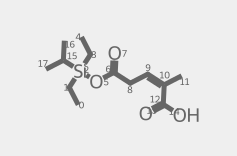 CC[Si](CC)(OC(=O)CC=C(C)C(=O)O)C(C)C